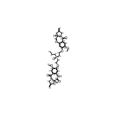 C=C1C[C@H]2C=Nc3cc(OCCP(=O)(CCC)CCOc4cc5c(cc4OC)C(=O)N4CC(=C)C[C@H]4C(=O)N5)c(OC)cc3C(=O)N2C1